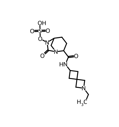 CCN1CC2(CC(NC(=O)C3CCC4CN3C(=O)N4OS(=O)(=O)O)C2)C1